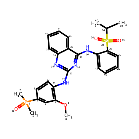 COc1cc(P(C)(C)=O)ccc1Nc1nc(Nc2ccccc2S(=O)(=O)C(C)C)c2ccccc2n1